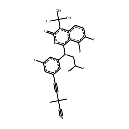 CC(C)(C#N)C#Cc1cc(F)cc(N(CC(F)F)c2nc(=O)n(C(O)(O)O)c3ccc(F)c(F)c23)c1